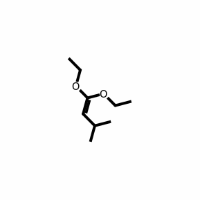 CCOC(=CC(C)C)OCC